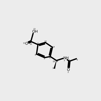 CC(=O)N[C@@H](C)c1ccc(C(=O)O)cc1